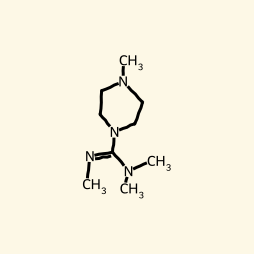 C/N=C(\N(C)C)N1CCN(C)CC1